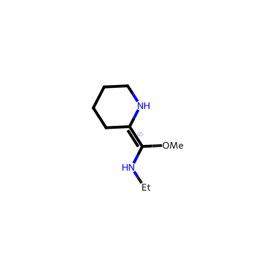 CCN/C(OC)=C1\CCCCN1